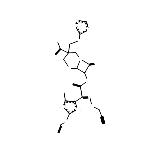 C#CCON=C(C(=O)NC1C(=O)N2CC(CSc3nncs3)(C(=O)O)CS[C@H]12)c1nc(NC=O)sc1Cl